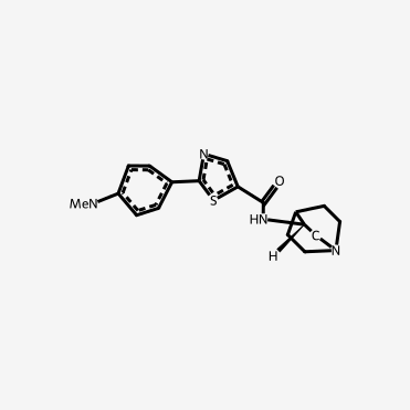 CNc1ccc(-c2ncc(C(=O)N[C@H]3CN4CCC3CC4)s2)cc1